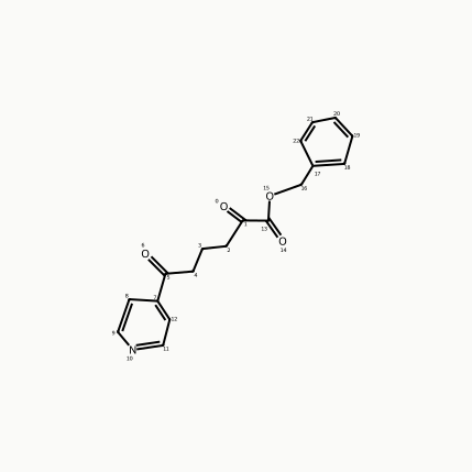 O=C(CCCC(=O)c1ccncc1)C(=O)OCc1ccccc1